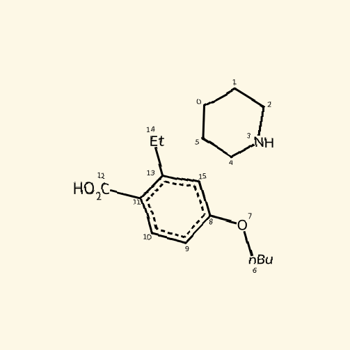 C1CCNCC1.CCCCOc1ccc(C(=O)O)c(CC)c1